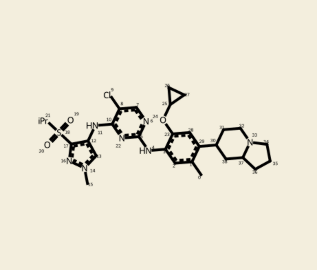 Cc1cc(Nc2ncc(Cl)c(Nc3cn(C)nc3S(=O)(=O)C(C)C)n2)c(OC2CC2)cc1C1CCN2CCCC2C1